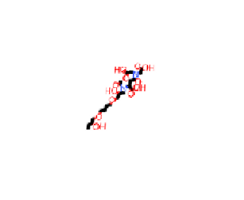 CCC(O)COCCCCOCC(O)CN(C(C)=O)C(CC(=O)N(CC(=O)O)CC(=O)O)C(=O)O